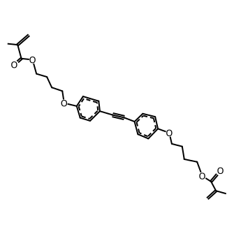 C=C(C)C(=O)OCCCCOc1ccc(C#Cc2ccc(OCCCCOC(=O)C(=C)C)cc2)cc1